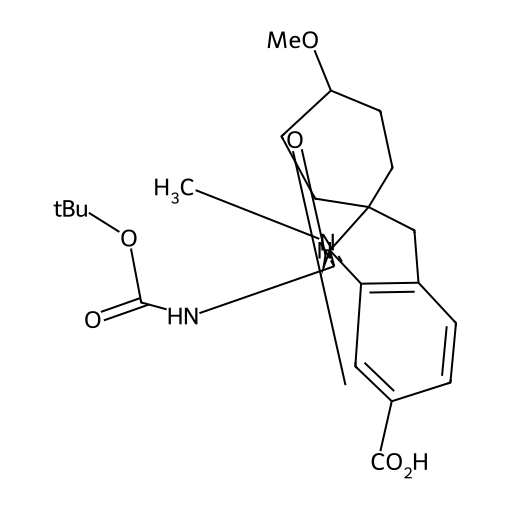 COC1CCC2(CC1)Cc1ccc(C(=O)O)cc1C21N=C(NC(=O)OC(C)(C)C)N(C)C1=O